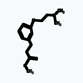 COC(=O)CCc1cccc(OCCN(C)C)c1